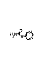 NC(=O)Sc1cncnc1